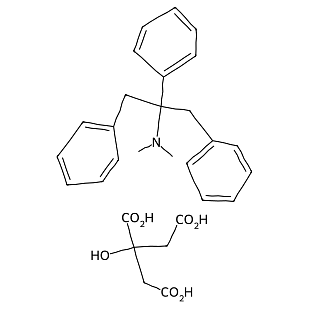 CN(C)C(Cc1ccccc1)(Cc1ccccc1)c1ccccc1.O=C(O)CC(O)(CC(=O)O)C(=O)O